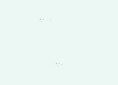 COc1[c]c(OC)c[c]c1